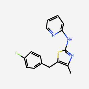 Cc1nc(Nc2ccccn2)sc1Cc1ccc(F)cc1